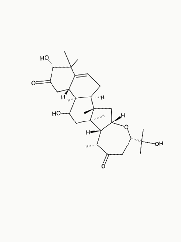 C[C@H]1C(=O)C[C@@H](C(C)(C)O)O[C@H]2C[C@@]3(C)[C@@H]4CC=C5[C@@H](CC(=O)[C@H](O)C5(C)C)[C@]4(C)C(O)C[C@]3(C)[C@H]21